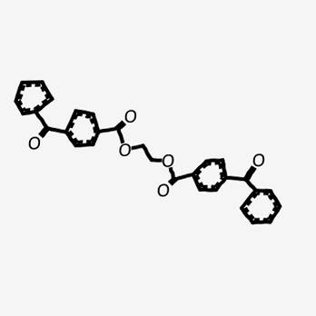 O=C(OCCOC(=O)c1ccc(C(=O)c2ccccc2)cc1)c1ccc(C(=O)c2ccccc2)cc1